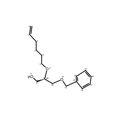 C=CCCCCO[C@H](CO)COCc1ccccc1